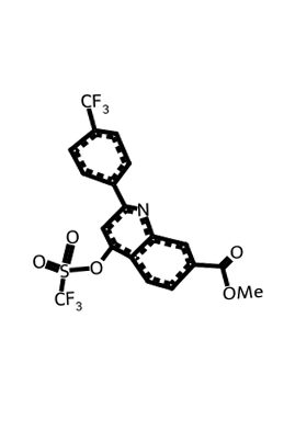 COC(=O)c1ccc2c(OS(=O)(=O)C(F)(F)F)cc(-c3ccc(C(F)(F)F)cc3)nc2c1